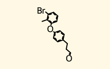 Cc1c(Br)cccc1Oc1ccc(CCC=O)cc1